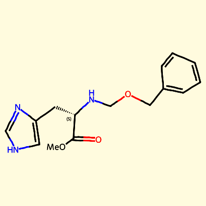 COC(=O)[C@H](Cc1c[nH]cn1)NCOCc1ccccc1